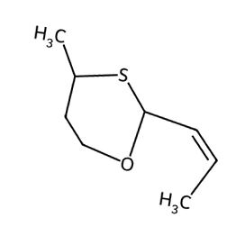 C/C=C\C1OCCC(C)S1